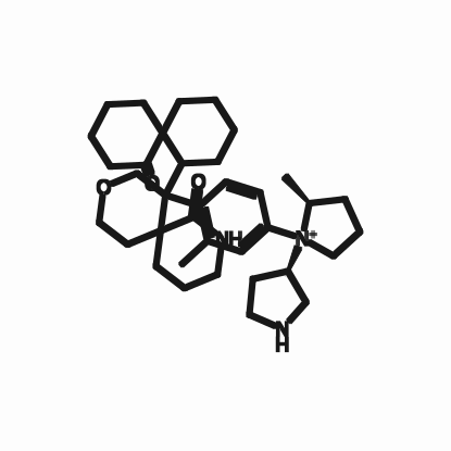 Cc1cc([N+]2([C@@H]3CCNC3)CCC[C@@H]2C)ccc1C1(C2CCCCC23CCCCC3=O)COCCC12CCCNC2=O